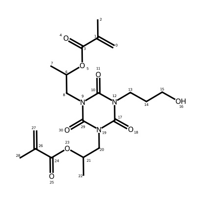 C=C(C)C(=O)OC(C)Cn1c(=O)n(CCCO)c(=O)n(CC(C)OC(=O)C(=C)C)c1=O